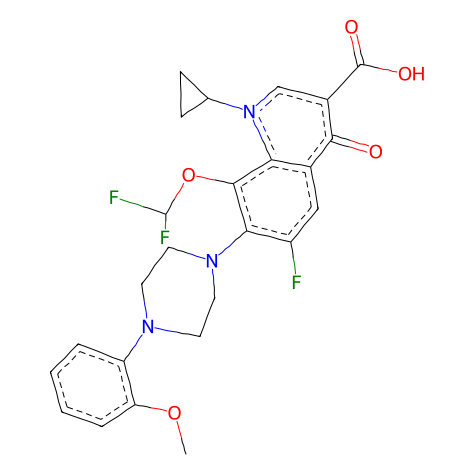 COc1ccccc1N1CCN(c2c(F)cc3c(=O)c(C(=O)O)cn(C4CC4)c3c2OC(F)F)CC1